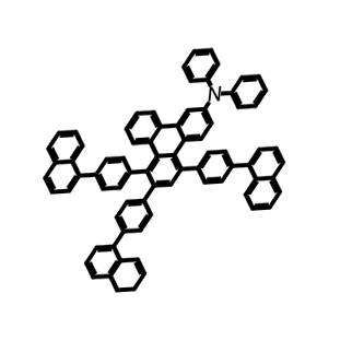 C1=Cc2c(cccc2-c2ccc(-c3cc(-c4ccc(-c5cccc6ccccc56)cc4)c4c5ccc(N(c6ccccc6)c6ccccc6)cc5c5ccccc5c4c3-c3ccc(-c4cccc5ccccc45)cc3)cc2)CC1